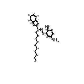 CCCCCCCCCCN(/N=C/c1cc(N)ccc1N)c1nc2ccccc2s1